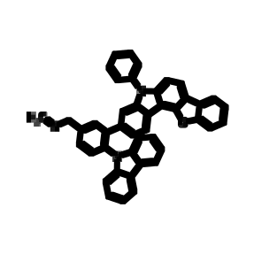 C=NCc1ccc(-n2c3ccccc3c3ccccc32)c(-c2ccc3c4c5oc6ccccc6c5ccc4n(-c4ccccc4)c3c2)c1